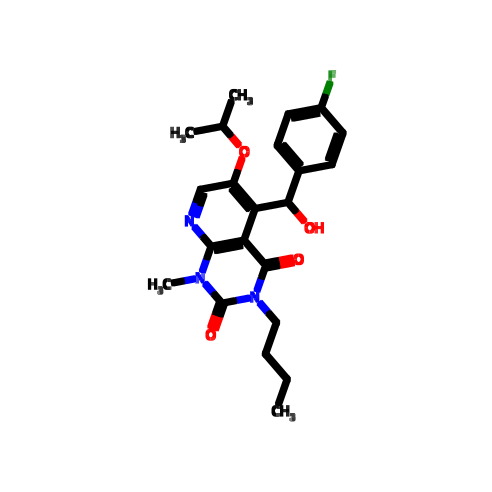 CCCCn1c(=O)c2c(C(O)c3ccc(F)cc3)c(OC(C)C)cnc2n(C)c1=O